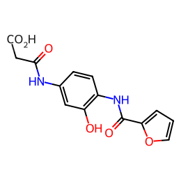 O=C(O)CC(=O)Nc1ccc(NC(=O)c2ccco2)c(O)c1